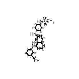 C#Cc1cccc(Nc2ncnc3cnc(N[C@H]4CC[C@H](NS(C)(=O)=O)CC4)nc23)c1